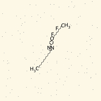 CCCCCCCCCCCCc1cnc(-c2ccc(OCC(F)CCCC(F)CCC)cc2)nc1